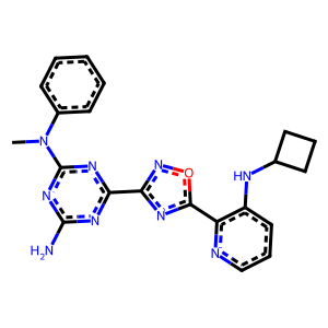 CN(c1ccccc1)c1nc(N)nc(-c2noc(-c3ncccc3NC3CCC3)n2)n1